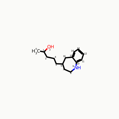 CC(O)CCCC1CCNc2ccccc2C1